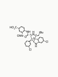 COc1cc(C(=O)O)ccc1NC(=O)[C@@H]1N[C@@H](CC(C)(C)C)[C@@]2(CNc3cc(Cl)ccc32)[C@H]1c1cccc(Cl)c1